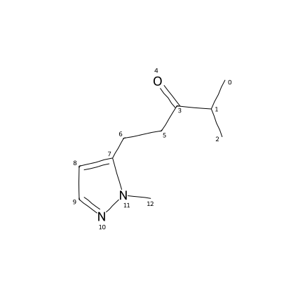 CC(C)C(=O)CCc1ccnn1C